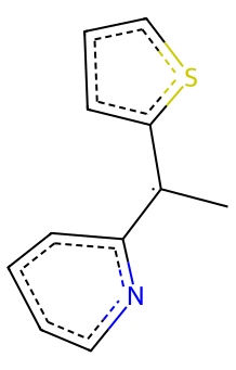 C[C](c1ccccn1)c1cccs1